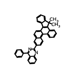 CC1(C)c2ccccc2-c2c1c1ccccc1c1c2ccc2cc(-c3nc(-c4ccccc4)c4ccccc4n3)ccc21